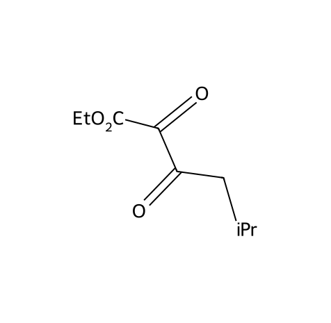 CCOC(=O)C(=O)C(=O)CC(C)C